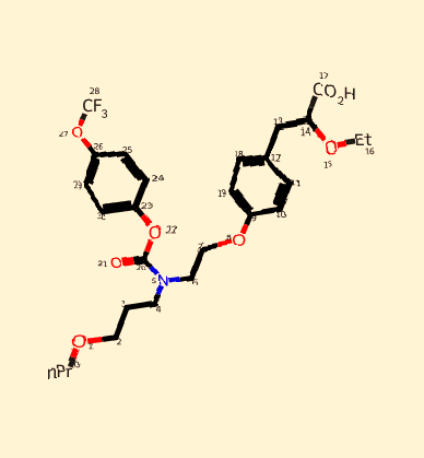 CCCOCCCN(CCOc1ccc(CC(OCC)C(=O)O)cc1)C(=O)Oc1ccc(OC(F)(F)F)cc1